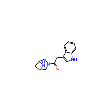 O=C(Cc1c[nH]c2ccccc12)N1CC2CC(C1)N2